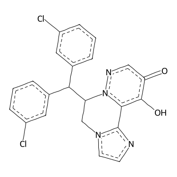 O=c1cnn2c(c1O)-c1nccn1CC2C(c1cccc(Cl)c1)c1cccc(Cl)c1